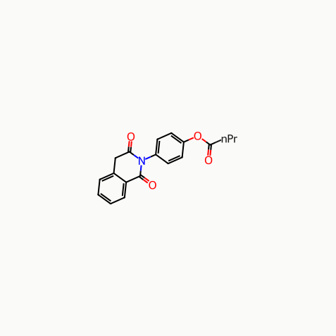 CCCC(=O)Oc1ccc(N2C(=O)Cc3ccccc3C2=O)cc1